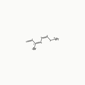 C=C/C(Br)=C\C=C/CC(C)C